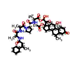 CCC(=O)O[C@]1(C(=O)C(O)OC(=O)[C@@H](NC(=O)[C@@H]2CCCN2C(=O)[C@H](C)NC(=O)[C@H](C)NC(=O)C=C(C)c2ccccc2)C(C)C)CCC2C3C[C@H](C)C4=CC(=O)C=C[C@]4(C)C3[C@@H](O)C[C@@]21C